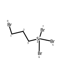 BrCCC[Si](Br)(Br)Br